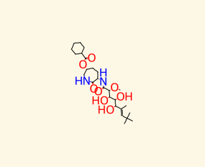 CO[C@@H](C(=O)N[C@H]1CC[C@@H](OC(=O)C2CCCCC2)CNC1=O)[C@H](O)[C@@H](O)[C@H](O)/C(C)=C/C(C)(C)C